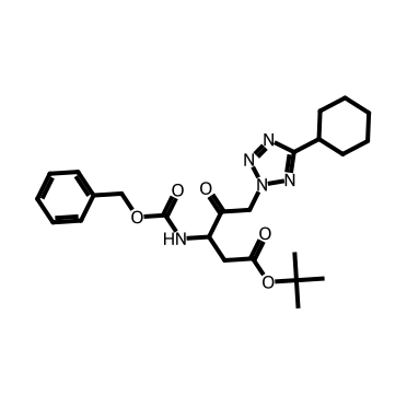 CC(C)(C)OC(=O)CC(NC(=O)OCc1ccccc1)C(=O)Cn1nnc(C2CCCCC2)n1